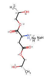 C[C@H](O)COC(=O)C[C@H](N)C(=O)OC[C@H](C)O.[NaH].[NaH]